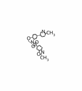 Cc1ccc(-c2ccc3c(c2)N(S(=O)(=O)c2ccc4nc(C)oc4c2)CCO3)cn1